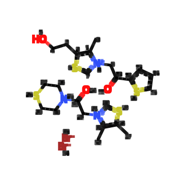 Cc1c(CCO)sc[n+]1CC(=O)c1cccs1.Cc1sc[n+](CC(=O)N2CCSCC2)c1C.[Br-].[Br-]